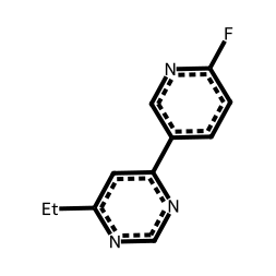 CCc1cc(-c2ccc(F)nc2)ncn1